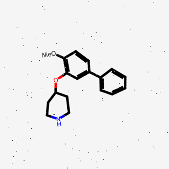 COc1ccc(-c2ccccc2)cc1OC1CCNCC1